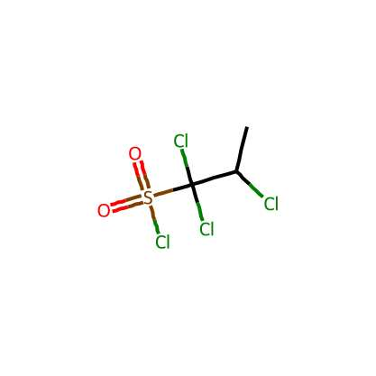 CC(Cl)C(Cl)(Cl)S(=O)(=O)Cl